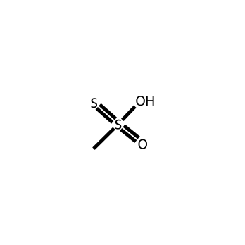 CS(=O)(O)=S